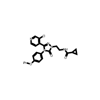 CC(C)Oc1ccc(-n2c(-c3ccncc3Cl)nn(CCNC(=O)C3CC3)c2=O)cc1